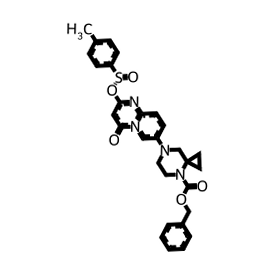 Cc1ccc(S(=O)Oc2cc(=O)n3cc(N4CCN(C(=O)OCc5ccccc5)C5(CC5)C4)ccc3n2)cc1